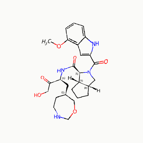 COc1cccc2[nH]c(C(=O)N3C[C@@H]4CCC[C@@H]4[C@H]3C(=O)N[C@@H](C[C@@H]3CCNCOC3)C(=O)CO)cc12